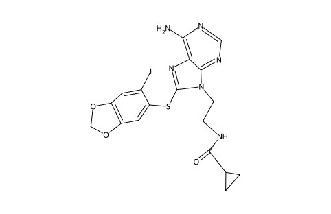 Nc1ncnc2c1nc(Sc1cc3c(cc1I)OCO3)n2CCNC(=O)C1CC1